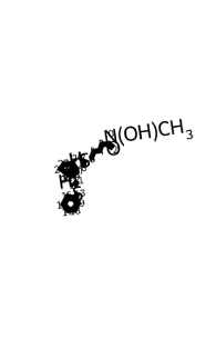 CN(O)C(=O)CCCCSC[C@@H]1[C@H](CCSc2ccccc2)[C@@H]2CC[C@H]1O2